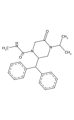 CNC(=O)N1CC(=O)N(C(C)C)CC1C(c1ccccc1)c1ccccc1